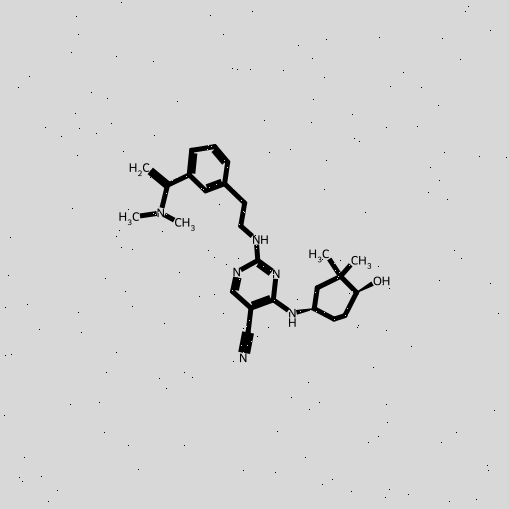 C=C(c1cccc(CCNc2ncc(C#N)c(N[C@@H]3CC[C@H](O)C(C)(C)C3)n2)c1)N(C)C